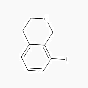 Ic1cccc2c1COCC2